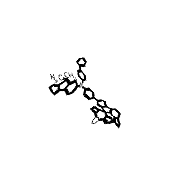 CC1(C)c2ccccc2-c2ccc(N(c3ccc(-c4ccccc4)cc3)c3ccc(-c4ccc5c(c4)C4(c6ccccc6Oc6ccccc64)c4c-5ccc5ccccc45)cc3)cc21